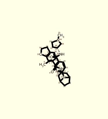 Cc1c(C(=O)NC2CC3CCC(C2)N3c2ccc(C(=O)N[C@@H]3CCN(C)C3)cn2)ccc2c1OCC2